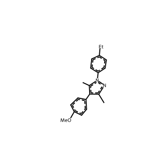 [CH2]Cc1ccc(-n2nc(C)c(-c3ccc(OC)cc3)c2C)cc1